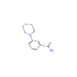 NC(=O)c1cccc(N2CC[N]CC2)c1